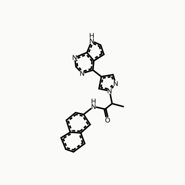 CC(C(=O)Nc1ccc2ccccc2c1)n1cc(-c2ncnc3[nH]ccc23)cn1